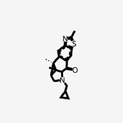 Cc1nc2cc3c(cc2s1)C(=O)C1N(CC2CC2)CC2C1(C)[C@]32C